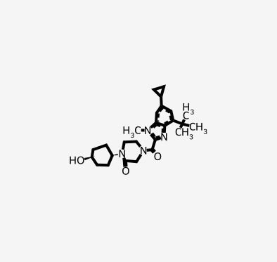 Cn1c(C(=O)N2CCN([C@H]3CC[C@H](O)CC3)C(=O)C2)nc2c(C(C)(C)C)cc(C3CC3)cc21